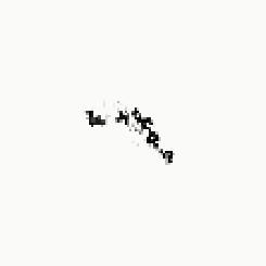 COc1cc(-c2nccc(-c3cccc(Nc4cncc(CNCC5CCC(=O)N5)c4OC)c3Cl)c2Cl)ccc1CNCC1CCC(=O)N1